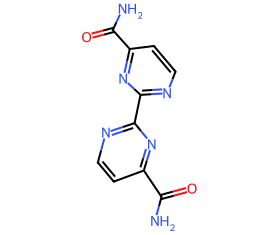 NC(=O)c1ccnc(-c2nccc(C(N)=O)n2)n1